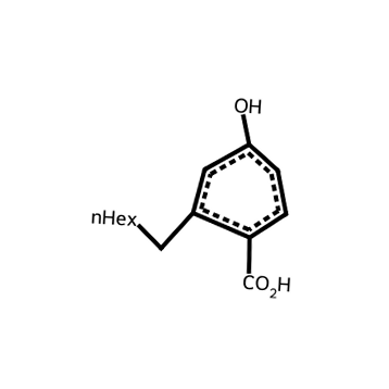 CCCCCCCc1cc(O)ccc1C(=O)O